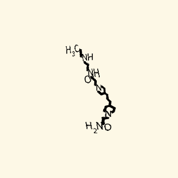 CCCNCCCNC(=O)CCN1CCC(CCCC2CCN(CCC(N)=O)CC2)CC1